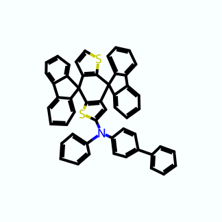 c1ccc(-c2ccc(N(c3ccccc3)c3cc4c(s3)C3(c5ccccc5-c5ccccc53)c3ccsc3C43c4ccccc4-c4ccccc43)cc2)cc1